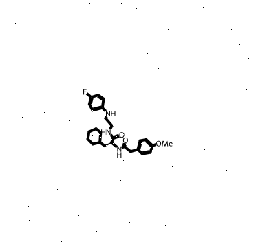 COc1ccc(CC(=O)N[C@@H](CC2CCCCC2)C(=O)NCCNc2ccc(F)cc2)cc1